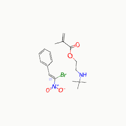 C=C(C)C(=O)OCCNC(C)(C)C.O=[N+]([O-])/C(Br)=C/c1ccccc1